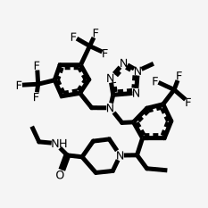 CCNC(=O)C1CCN(C(CC)c2ccc(C(F)(F)F)cc2CN(Cc2cc(C(F)(F)F)cc(C(F)(F)F)c2)c2nnn(C)n2)CC1